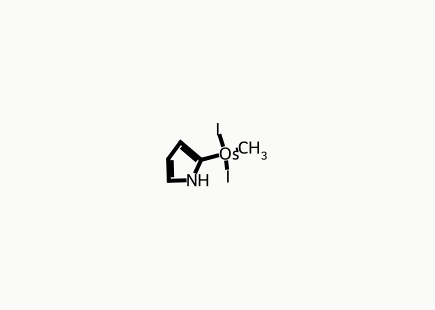 [CH3][Os]([I])([I])[c]1ccc[nH]1